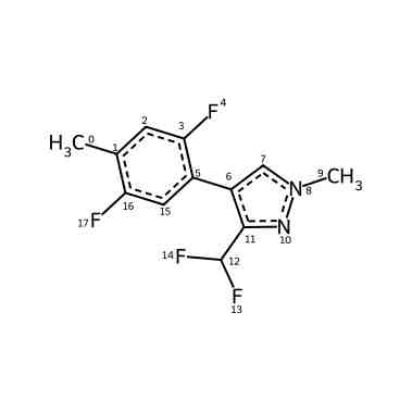 Cc1cc(F)c(-c2cn(C)nc2C(F)F)cc1F